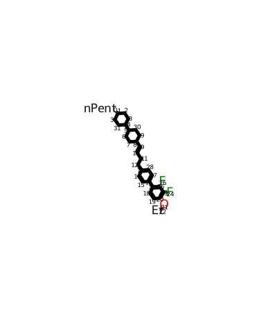 CCCCCC1CCC(C2CCC(/C=C/CCc3ccc(-c4ccc(OCC)c(F)c4F)cc3)CC2)CC1